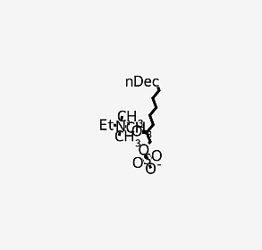 CCCCCCCCCCCCCCCC(=O)COS(=O)(=O)[O-].CC[N+](C)(C)C